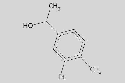 CCc1cc(C(C)O)ccc1C